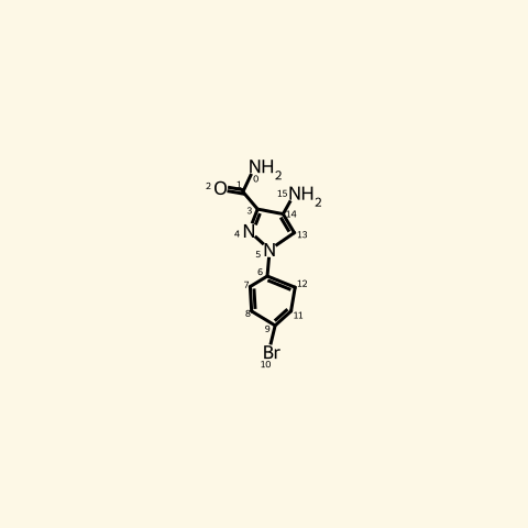 NC(=O)c1nn(-c2ccc(Br)cc2)cc1N